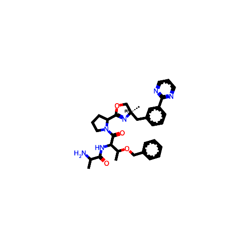 CC(N)C(=O)NC(C(=O)N1CCCC1C1=N[C@](C)(Cc2cccc(-c3ncccn3)c2)CO1)C(C)OCc1ccccc1